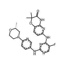 C[C@@H]1CN(c2ccc(Nc3ncc(F)c(Nc4ccc5c(n4)NC(=O)C(C)(C)O5)n3)cn2)CCO1